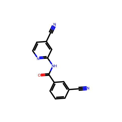 N#Cc1cccc(C(=O)Nc2cc(C#N)ccn2)c1